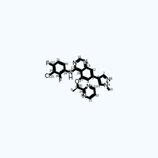 C[C@@H](Oc1cc(-c2cnn(C)c2)cc2ncnc(Nc3ccc(F)c(Cl)c3F)c12)c1ncccn1